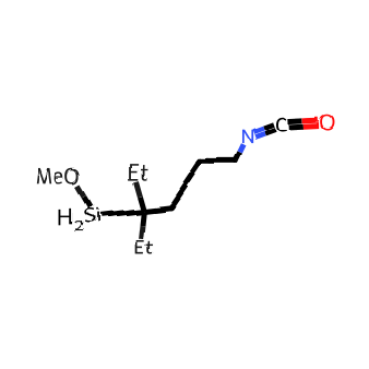 CCC(CC)(CCCN=C=O)[SiH2]OC